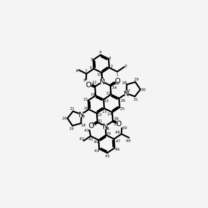 CCc1cccc(C(C)C)c1N1C(=O)c2cc(N3CCCC3)c3c4c(cc(N5CCCC5)c(c24)C1=O)C(=O)N(c1c(C(C)C)cccc1C(C)C)C3=O